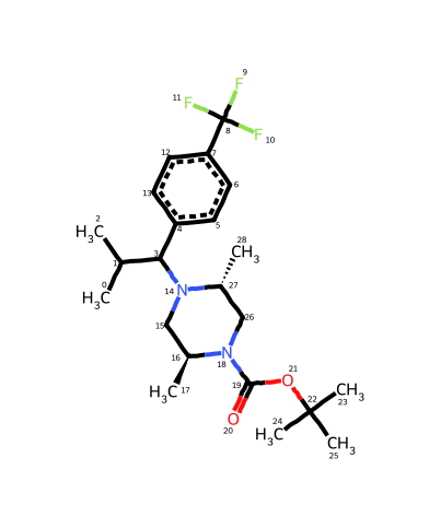 CC(C)C(c1ccc(C(F)(F)F)cc1)N1C[C@H](C)N(C(=O)OC(C)(C)C)C[C@H]1C